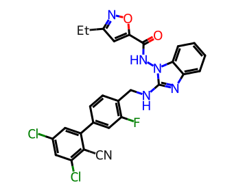 CCc1cc(C(=O)Nn2c(NCc3ccc(-c4cc(Cl)cc(Cl)c4C#N)cc3F)nc3ccccc32)on1